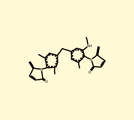 C=C1C=CC(=O)N1c1c(C)cc(Cc2cc(C)c(N3C(=C)C=CC3=O)c(NC)c2)cc1C